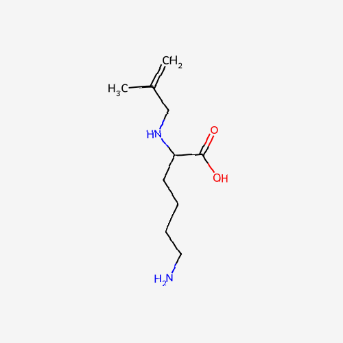 C=C(C)CNC(CCCCN)C(=O)O